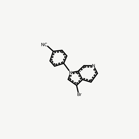 N#Cc1ccc(-n2cc(Br)c3ccncc32)cc1